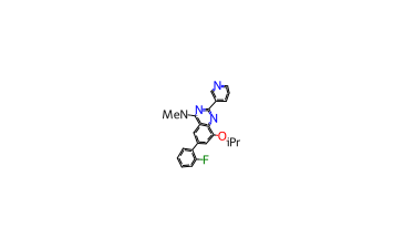 CNc1nc(-c2cccnc2)nc2c(OC(C)C)cc(-c3ccccc3F)cc12